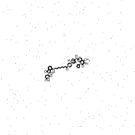 C=C(/C=C\C(=N/C)Nc1ncc2c(C)c(C(C)=O)c(=O)n(C3CCCC3)c2n1)N1CCN(C(=O)CCCCCCCNc2cccc3c2C(=O)N(C2CCC(=O)NC2=O)C3=O)CC1